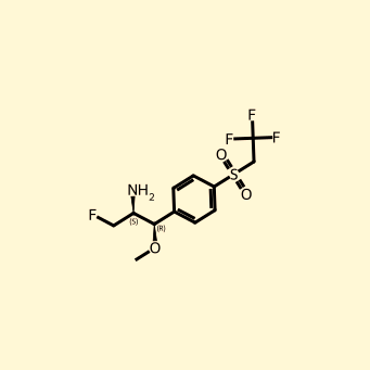 CO[C@H](c1ccc(S(=O)(=O)CC(F)(F)F)cc1)[C@H](N)CF